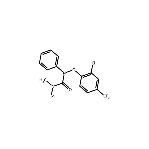 CC(C)N(C)C(=O)N(Oc1ccc(C(F)(F)F)cc1Cl)c1ccccc1